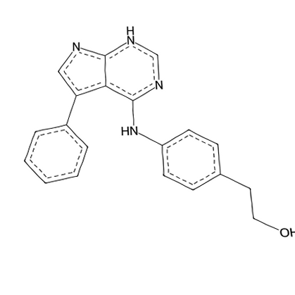 OCCc1ccc(Nc2nc[nH]c3ncc(-c4ccccc4)c2-3)cc1